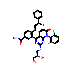 CC(CCc1ccc(C(N)=O)cc1-c1nc(NCC(O)CO)nc2c1ccc(=O)n2-c1c(F)cccc1F)c1ccccc1